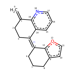 C=C1CC/C(=C2\CCCc3ccoc32)c2cccnc21